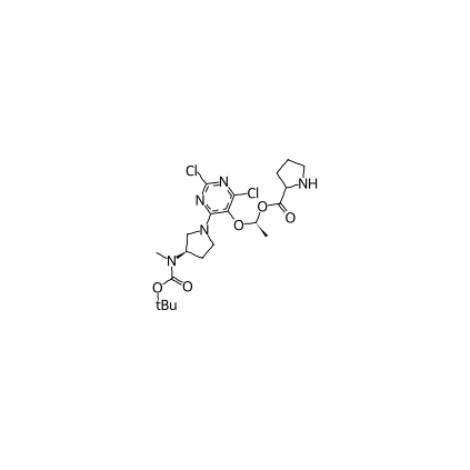 C[C@H](OC(=O)C1CCCN1)Oc1c(Cl)nc(Cl)nc1N1CC[C@@H](N(C)C(=O)OC(C)(C)C)C1